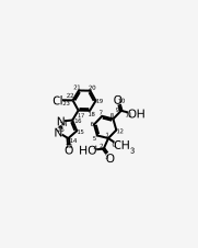 CC1(C(=O)O)C=CC=C(C(=O)O)C1.O=C1C=C(c2ccccc2Cl)N=N1